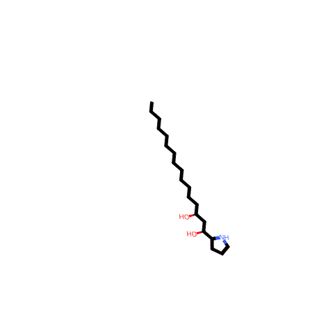 CCCCCCCCCCCCC[C@H](O)C[C@H](O)C1CCCN1